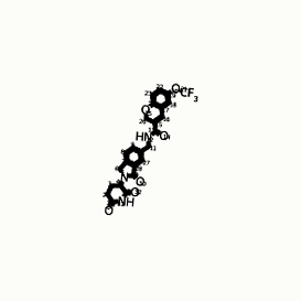 O=C1CCC(N2Cc3ccc(CNC(=O)C4=Cc5cc(OC(F)(F)F)ccc5OC4)cc3C2=O)C(=O)N1